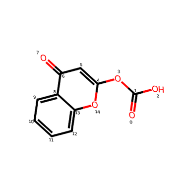 O=C(O)Oc1cc(=O)c2ccccc2o1